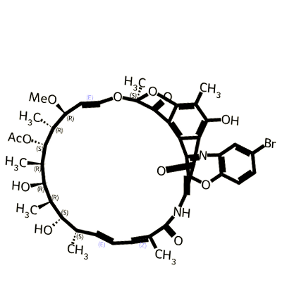 CO[C@H]1/C=C/O[C@@]2(C)Oc3c(C)c(O)c4c(=O)c(c5oc6ccc(Br)cc6nc-5c4c3C2=O)NC(=O)/C(C)=C\C=C\[C@H](C)[C@H](O)[C@@H](C)[C@@H](O)[C@@H](C)[C@H](OC(C)=O)[C@@H]1C